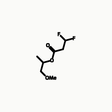 COCC(C)OC(=O)CC(F)F